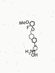 COc1cccc(OCC2CCc3cc([C@H]4CC[C@](N)(CO)C4)ccc3C2)c1F